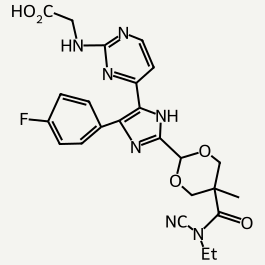 CCN(C#N)C(=O)C1(C)COC(c2nc(-c3ccc(F)cc3)c(-c3ccnc(NCC(=O)O)n3)[nH]2)OC1